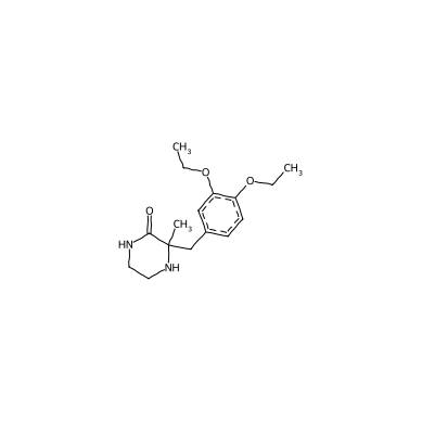 CCOc1ccc(CC2(C)NCCNC2=O)cc1OCC